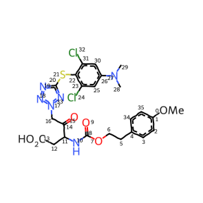 COc1ccc(CCOC(=O)NC(CC(=O)O)C(=O)Cn2nnc(Sc3c(Cl)cc(N(C)C)cc3Cl)n2)cc1